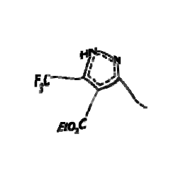 CCOC(=O)c1c(C)n[nH]c1C(F)(F)F